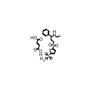 CCNC(CCS(=O)(=O)c1ccc(S(N)(=O)=O)s1)c1ccccc1.O=C(O)C=CC(=O)O